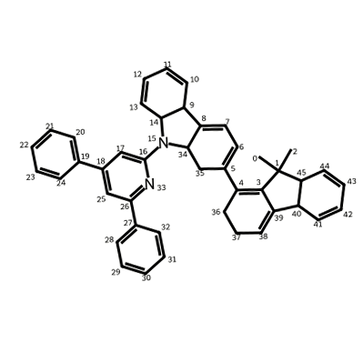 CC1(C)C2=C(C3=CC=C4C5C=CC=CC5N(c5cc(-c6ccccc6)cc(-c6ccccc6)n5)C4C3)CCC=C2C2C=CC=CC21